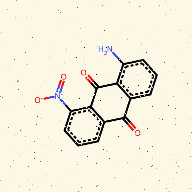 Nc1cccc2c1C(=O)c1c(cccc1[N+](=O)[O-])C2=O